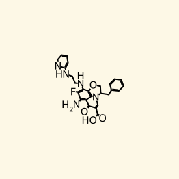 Nc1c(F)c(NCCNc2ccccn2)c2c3c1c(=O)c(C(=O)O)cn3C(Cc1ccccc1)CO2